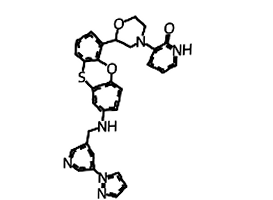 O=c1[nH]cccc1N1CCOC(c2cccc3c2Oc2ccc(NCc4cncc(-n5cccn5)c4)cc2S3)C1